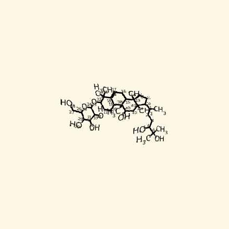 CC(CCC(O)C(C)(C)O)C1CCC2(C)C3CC=C4C(CCC(OC5OC(CO)C(O)C(O)C5O)C4(C)C)C3(C)C(O)CC12C